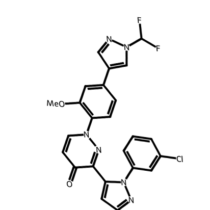 COc1cc(-c2cnn(C(F)F)c2)ccc1-n1ccc(=O)c(-c2ccnn2-c2cccc(Cl)c2)n1